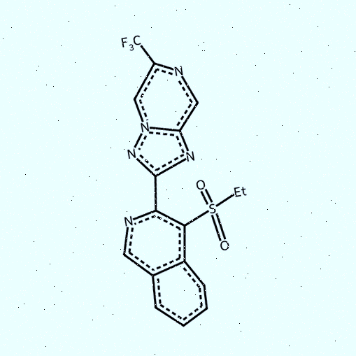 CCS(=O)(=O)c1c(-c2nc3cnc(C(F)(F)F)cn3n2)ncc2ccccc12